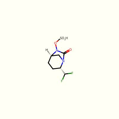 O=C1N2C[C@@H](CC[C@H]2C(F)F)N1OS(=O)(=O)O